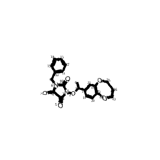 CC(ON1C(=O)C(=O)N(Cc2ccccc2)C1=O)c1ccc2c(c1)OCCCO2